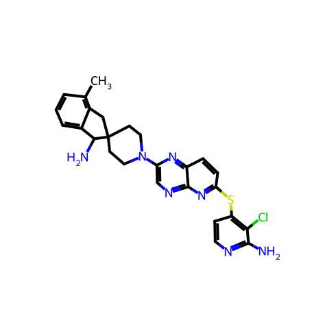 Cc1cccc2c1CC1(CCN(c3cnc4nc(Sc5ccnc(N)c5Cl)ccc4n3)CC1)C2N